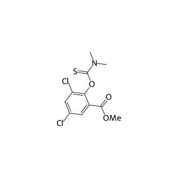 COC(=O)c1cc(Cl)cc(Cl)c1OC(=S)N(C)C